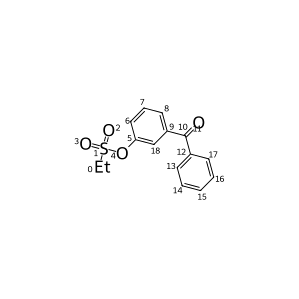 CCS(=O)(=O)Oc1cccc(C(=O)c2ccccc2)c1